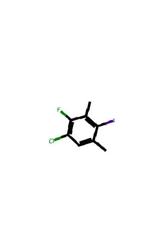 Cc1cc(Cl)c(F)c(C)c1I